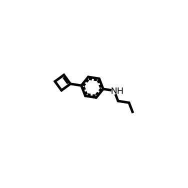 CCCNc1ccc(C2=CCC2)cc1